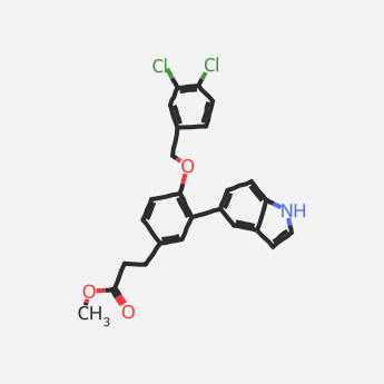 COC(=O)CCc1ccc(OCc2ccc(Cl)c(Cl)c2)c(-c2ccc3[nH]ccc3c2)c1